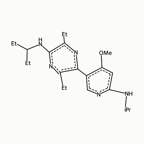 CCc1nc(-c2cnc(NC(C)C)cc2OC)c(CC)nc1NC(CC)CC